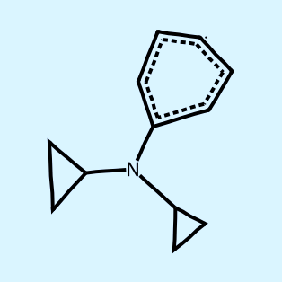 [c]1ccc(N(C2CC2)C2CC2)cc1